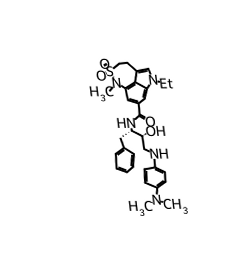 CCn1cc2c3c(cc(C(=O)N[C@@H](Cc4ccccc4)[C@H](O)CNc4ccc(N(C)C)cc4)cc31)N(C)S(=O)(=O)CC2